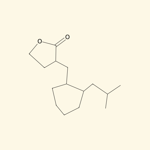 CC(C)CC1CCCCC1CC1CCOC1=O